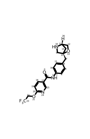 O=C(Nc1ccc(C[C@]23CN[C@H](CO2)C3)cc1)c1ccc(OCC(F)(F)F)nc1